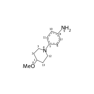 COC1CCN(c2ccc(N)cc2)CC1